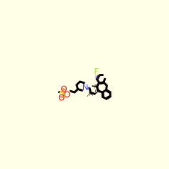 CC1=C(/C=C(\C)F)[C@H](C)[C@H](C[C@H](C)CN2CCCC(CCOS(C)(=O)=O)C2)c2ccccc2C1